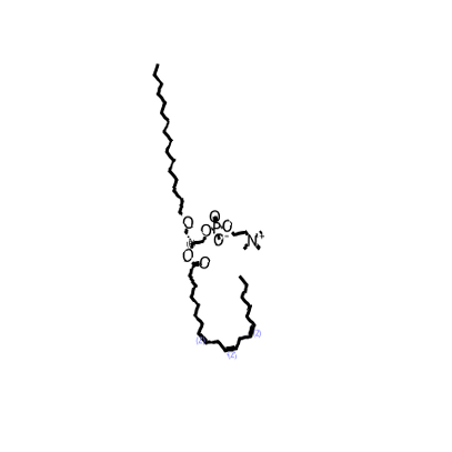 CCCCC/C=C\C/C=C\C/C=C\CCCCCCC(=O)O[C@H](COCCCCCCCCCCCCCCCC)COP(=O)([O-])OCC[N+](C)(C)C